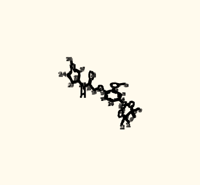 COc1cc(B2OC(C)(C)C(C)(C)O2)ccc1OCC(=O)NC1CCN(C)C1